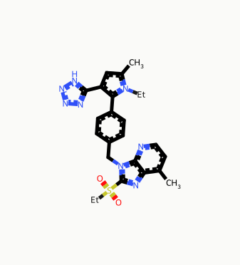 CCn1c(C)cc(-c2nnn[nH]2)c1-c1ccc(Cn2c(S(=O)(=O)CC)nc3c(C)ccnc32)cc1